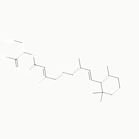 CC(C=CC1=C(C)CCCC1(C)C)=CC=CC(C)=CC(=O)N[C@@H](CS(=O)(=O)O)C(N)=O